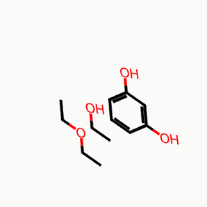 CCO.CCOCC.Oc1cccc(O)c1